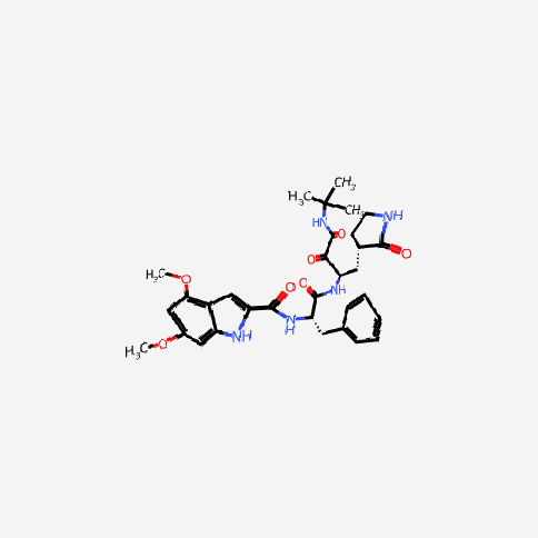 COc1cc(OC)c2cc(C(=O)N[C@@H](Cc3ccccc3)C(=O)NC(C[C@@H]3CCNC3=O)C(=O)C(=O)NC(C)(C)C)[nH]c2c1